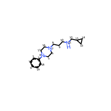 c1ccc(N2CCN(CCCNCC3CC3)CC2)cc1